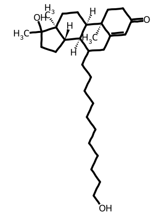 CC1(O)CC[C@H]2[C@@H]3C(CCCCCCCCCCCO)CC4=CC(=O)CC[C@]4(C)[C@@H]3CC[C@@]21C